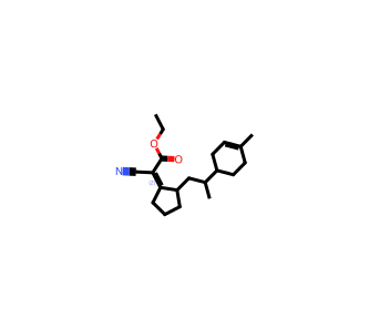 CCOC(=O)/C(C#N)=C1/CCCC1CC(C)C1CC=C(C)CC1